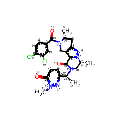 C[C@@H]1Cc2nn3c(c2CN1C(=O)c1ccc(Cl)c(Cl)c1)C(=O)N([C@@H](C)c1ccc(=O)n(C)n1)C[C@H]3C